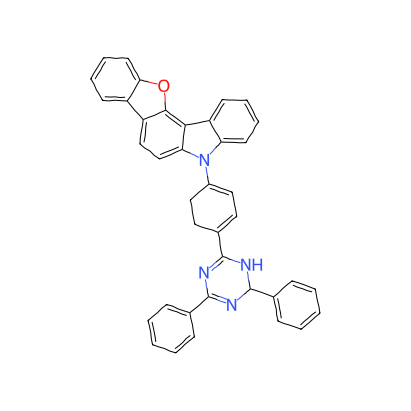 C1=C(C2=NC(c3ccccc3)=NC(c3ccccc3)N2)CCC(n2c3ccccc3c3c4oc5ccccc5c4ccc32)=C1